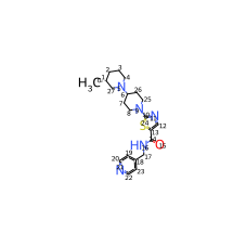 C[C@@H]1CCCN(C2CCN(c3ncc(C(=O)NCc4ccncc4)s3)CC2)C1